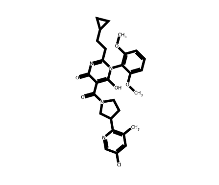 COc1cccc(OC)c1-n1c(CCC2CC2)nc(=O)c(C(=O)N2CCC(c3ncc(Cl)cc3C)C2)c1O